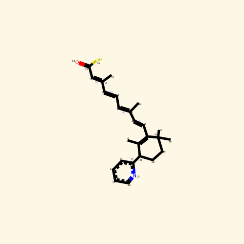 CC1=C(/C=C/C(C)=C/C=C/C(C)=C/C(=O)S)C(C)(C)CCC1c1ccccn1